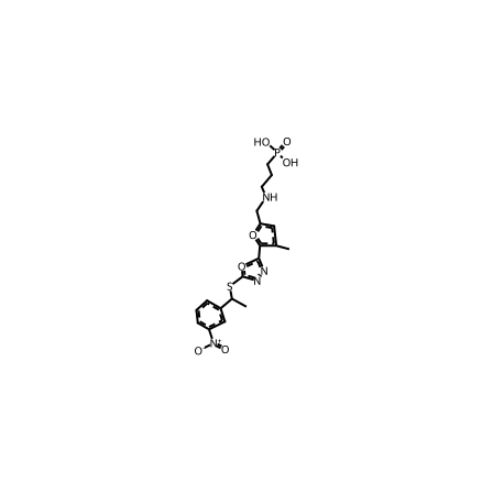 Cc1cc(CNCCCP(=O)(O)O)oc1-c1nnc(SC(C)c2cccc([N+](=O)[O-])c2)o1